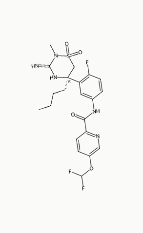 CCCC[C@@]1(c2cc(NC(=O)c3ccc(OC(F)F)cn3)ccc2F)CS(=O)(=O)N(C)C(=N)N1